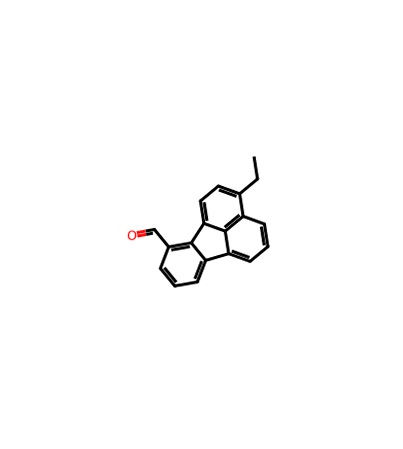 CCc1ccc2c3c(cccc13)-c1cccc(C=O)c1-2